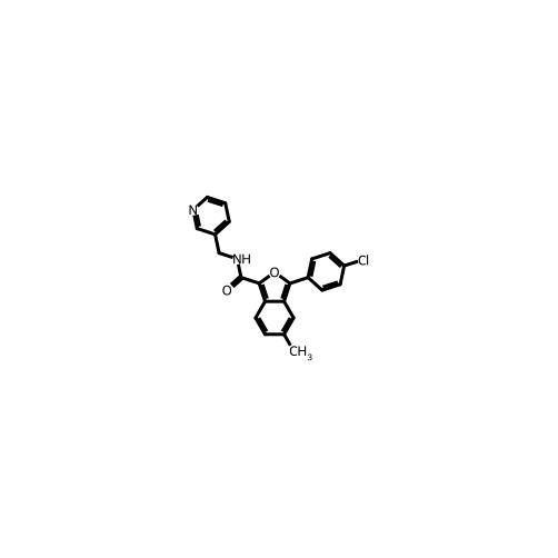 Cc1ccc2c(C(=O)NCc3cccnc3)oc(-c3ccc(Cl)cc3)c2c1